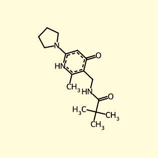 Cc1[nH]c(N2CCCC2)cc(=O)c1CNC(=O)C(C)(C)C